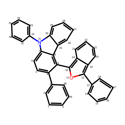 c1ccc(-c2ccc3c(c2-c2oc(-c4ccccc4)c4ccccc24)c2ccccc2n3-c2ccccc2)cc1